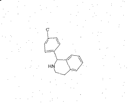 Clc1ccc(C2NCCc3ccccc32)cc1